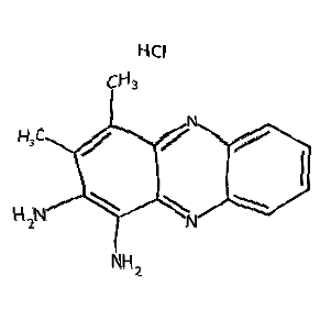 Cc1c(N)c(N)c2nc3ccccc3nc2c1C.Cl